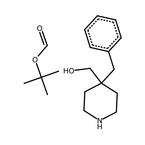 CC(C)(C)OC=O.OCC1(Cc2ccccc2)CCNCC1